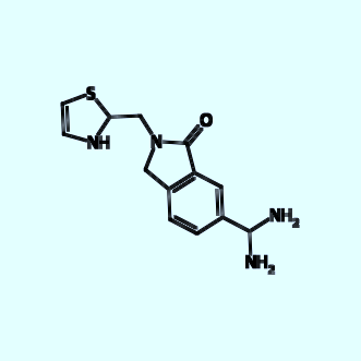 NC(N)c1ccc2c(c1)C(=O)N(CC1NC=CS1)C2